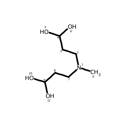 CN(CCC(O)O)CCC(O)O